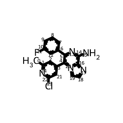 Cc1cc(-c2c(-c3cccc(F)c3)nc(N)c3nccn23)cc(Cl)n1